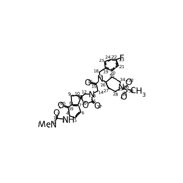 CNC(=O)NC1C=CC2=C(CC[C@]23CN(CC(=O)N(Cc2ccc(F)cc2)C2CCN(S(C)(=O)=O)CC2)C(=O)O3)C1=O